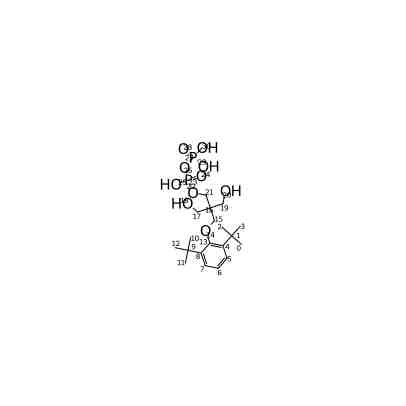 CC(C)(C)c1cccc(C(C)(C)C)c1OCC(CO)(CO)COP(=O)(O)OP(=O)(O)O